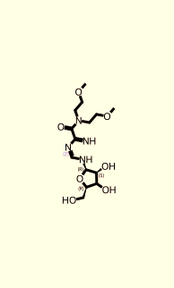 COCCN(CCOC)C(=O)C(=N)/N=C\N[C@@H]1O[C@H](CO)C(O)[C@@H]1O